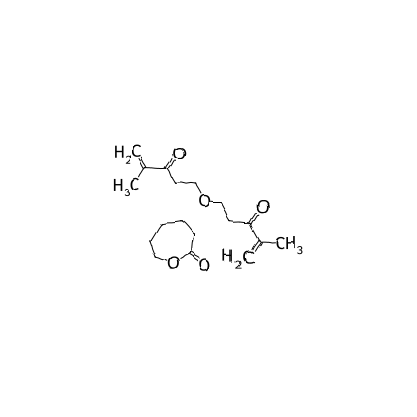 C=C(C)C(=O)CCOCCC(=O)C(=C)C.O=C1CCCCCO1